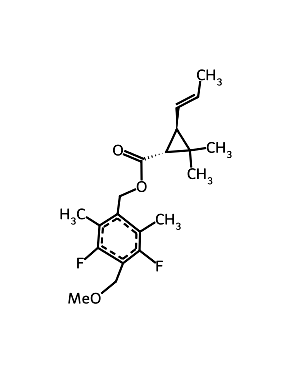 CC=C[C@@H]1[C@@H](C(=O)OCc2c(C)c(F)c(COC)c(F)c2C)C1(C)C